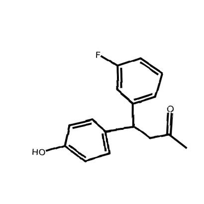 CC(=O)CC(c1ccc(O)cc1)c1cccc(F)c1